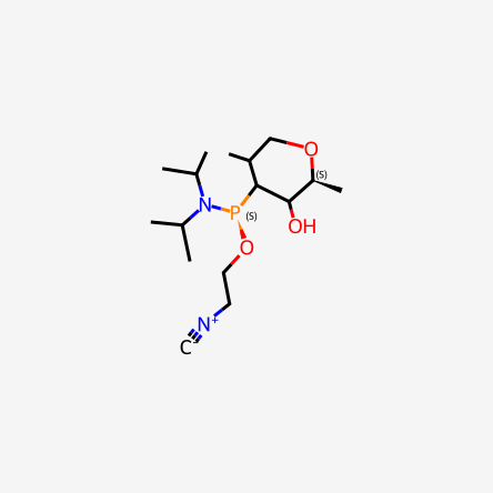 [C-]#[N+]CCO[P@](C1C(C)CO[C@@H](C)C1O)N(C(C)C)C(C)C